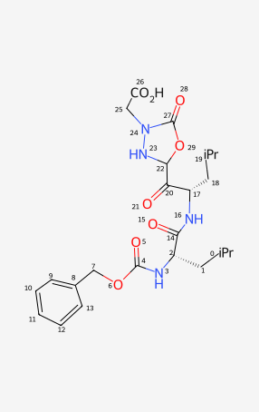 CC(C)C[C@H](NC(=O)OCc1ccccc1)C(=O)N[C@@H](CC(C)C)C(=O)C1NN(CC(=O)O)C(=O)O1